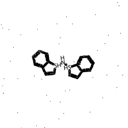 C1=C[SH](N[SH]2C=Cc3ccccc32)c2ccccc21